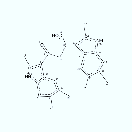 Cc1cc2[nH]c(C)c(C(=O)CC(C(=O)O)c3c(C)[nH]c4cc(C)c(C)cc34)c2cc1C